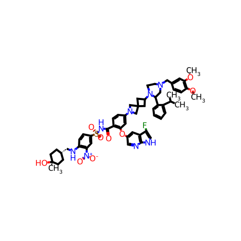 COc1ccc(CN2CCN(C3CC4(C3)CN(c3ccc(C(=O)NS(=O)(=O)c5ccc(NC[C@H]6CC[C@](C)(O)CC6)c([N+](=O)[O-])c5)c(Oc5cnc6[nH]cc(F)c6c5)c3)C4)C(c3ccccc3C(C)C)C2)cc1OC